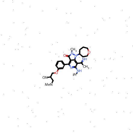 CNCC(COc1cccc(-c2nc(NC(C)C)c(C(C)=N)c3c2c(=O)n(C)n3C2CCCOCC2)c1)N=O